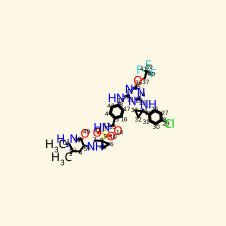 CC[C@H](C)CC(NCC1(S(=O)(=O)NC(=O)c2ccc(Nc3nc(NC4(c5ccc(Cl)cc5)CC4)nc(OCC(F)(F)F)n3)cc2)CC1)C(N)=O